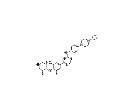 N#Cc1cc(-c2ncnc(Nc3ccc(N4CCN(C5COC5)CC4)cc3)n2)cc(F)c1O[C@H]1CCNC[C@@H]1F